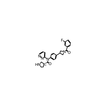 O=C(c1cccc(F)c1)N1CC(c2ccc(N(C(=O)[C@H]3CCNC3)c3cccnn3)cc2)C1